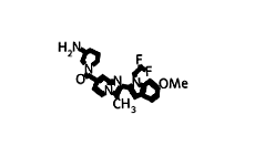 COc1ccc2cc(-c3nc4cc(C(=O)N5CCCC(N)C5)ccn4c3C)n(CC(F)F)c2c1